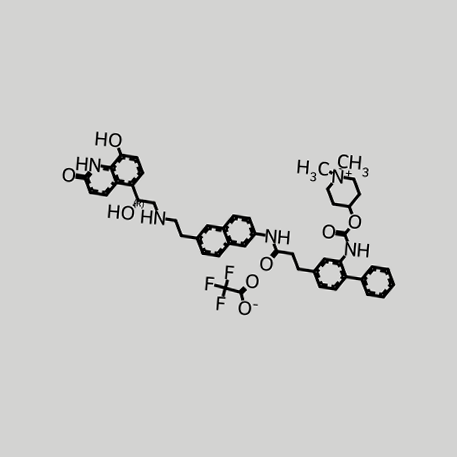 C[N+]1(C)CCC(OC(=O)Nc2cc(CCC(=O)Nc3ccc4cc(CCNC[C@H](O)c5ccc(O)c6[nH]c(=O)ccc56)ccc4c3)ccc2-c2ccccc2)CC1.O=C([O-])C(F)(F)F